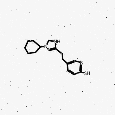 Sc1ccc(CCC2=CN(C3CCCCC3)CN2)cn1